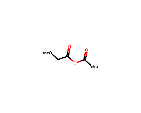 [CH2]CCCC(=O)OC(=O)COC